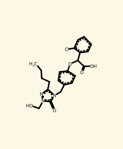 CCCCc1nn(CO)c(=O)n1Cc1ccc(OC(C(=O)O)c2ccccc2Cl)cc1